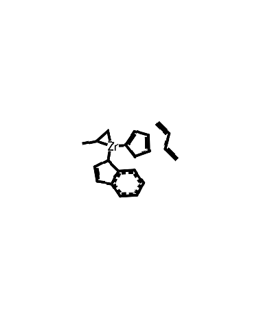 C=CC=C.C[CH]1[CH2][Zr]1([C]1=CC=CC1)[CH]1C=Cc2ccccc21